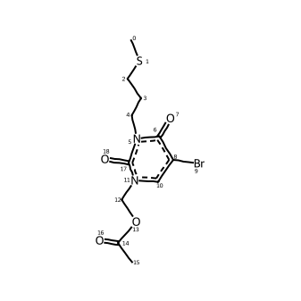 CSCCCn1c(=O)c(Br)cn(COC(C)=O)c1=O